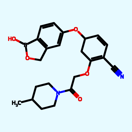 CC1CCN(C(=O)COC2=C(C#N)C=CC(Oc3ccc4c(c3)COB4O)C2)CC1